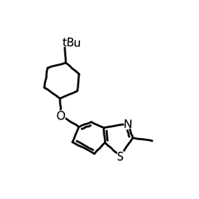 Cc1nc2cc(OC3CCC(C(C)(C)C)CC3)ccc2s1